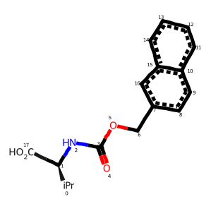 CC(C)[C@H](NC(=O)OCc1ccc2ccccc2c1)C(=O)O